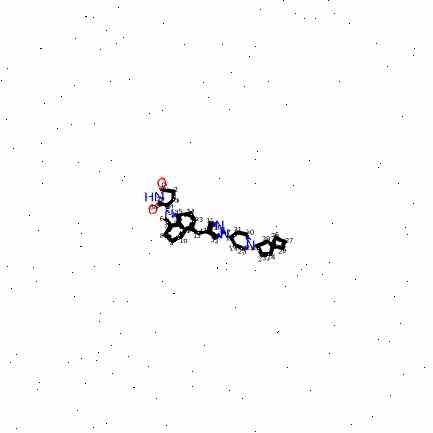 O=C1CCC(N2Cc3cccc4c(Cc5cnn(C6CCN([C@@H]7CCC8(CCC8)C7)CC6)c5)ccc2c34)C(=O)N1